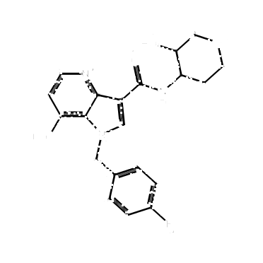 Cc1ccnc2c(C(=O)NC3CCOCC3O)cn(Cc3ccc(F)cc3)c12